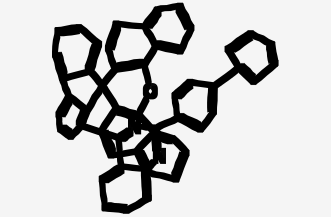 c1ccc(-c2ccc(-c3nc(-c4cccc5c4C4(c6ccccc6-5)c5ccc6ccccc6c5Oc5c4ccc4ccccc54)c4ccccc4n3)cc2)cc1